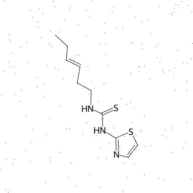 CC/C=C/CCNC(=S)Nc1nccs1